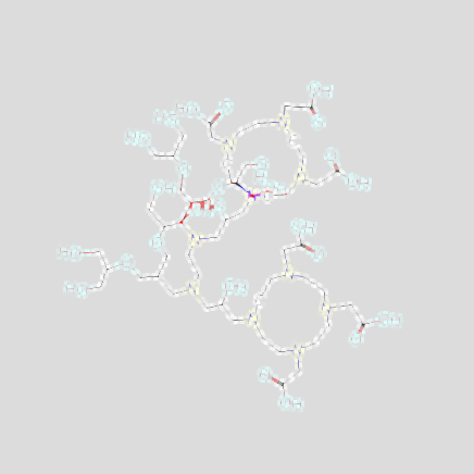 O=C(O)CN1CCN(CC(=O)O)CCN(CC(O)CN(CCN(CC(O)CN2CCN(CC(=O)O)CCN(CC(=O)O)CCN(CC(=O)O)CC2)CC(COC(CO)CO)COC(CO)CO)CC(COC(CO)CO)COC(CO)CO)CCN(CC(=O)O)CC1